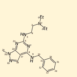 CCN(CC)CCNc1nc(NCc2ccccc2)c2cnn(C)c2n1